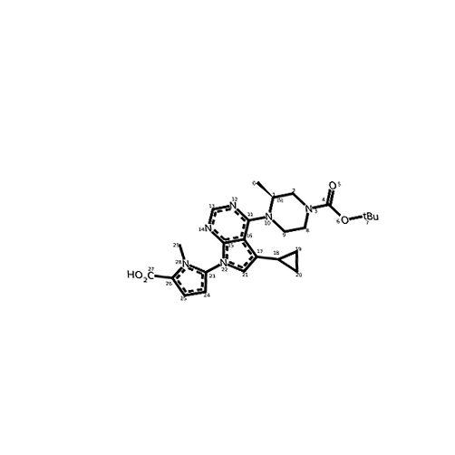 C[C@H]1CN(C(=O)OC(C)(C)C)CCN1c1ncnc2c1c(C1CC1)cn2-c1ccc(C(=O)O)n1C